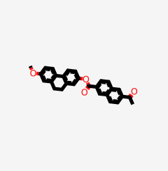 COc1ccc2c(c1)CCc1cc(OC(=O)c3ccc4cc(C(C)=O)ccc4c3)ccc1-2